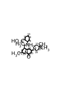 Cc1cc(C(C)Nc2ccccc2C(=O)O)c2cc(N3CCC(C)(C)CC3)cc(=O)n2c1